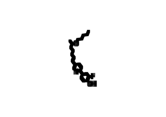 CCCCCOC(C)CCCC=Cc1ccc(-c2ccc(O)c(F)c2)nc1